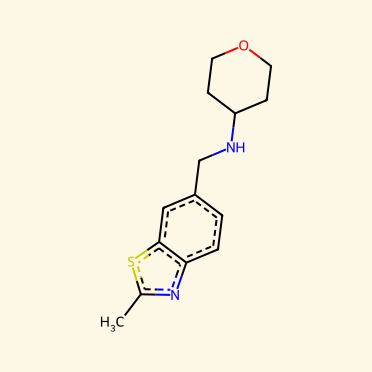 Cc1nc2ccc(CNC3CCOCC3)cc2s1